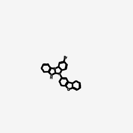 BrC1=CC2C(C=C1)N(C1=CC3=C(CC1)OC1=CC=CCC13)C1NC3=C(C=CCC3)N21